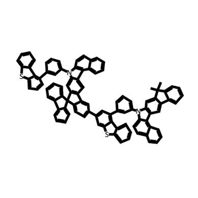 CC1(C)c2ccccc2-c2cc3c4c5ccccc5ccc4n(-c4cccc(-c5cc(-c6ccc7c(c6)-c6cc8c9c%10ccccc%10ccc9n(-c9cccc(-c%10cccc%11sc%12ccccc%12c%10%11)c9)c8cc6C76c7ccccc7-c7ccccc76)cc6sc7ccccc7c56)c4)c3cc21